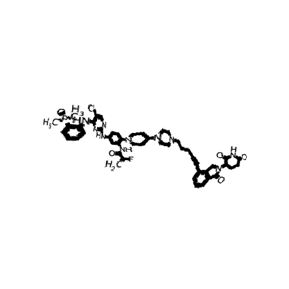 C=C(F)C(=O)Nc1cc(Nc2ncc(Cl)c(Nc3ccccc3P(C)(C)=O)n2)ccc1N1CCC(N2CCN(CCCC#Cc3cccc4c3CN(C3CCC(=O)NC3=O)C4=O)CC2)CC1